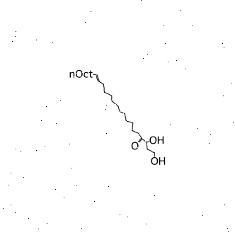 CCCCCCCCC=CCCCCCCCCCCCC(=O)C(O)CCO